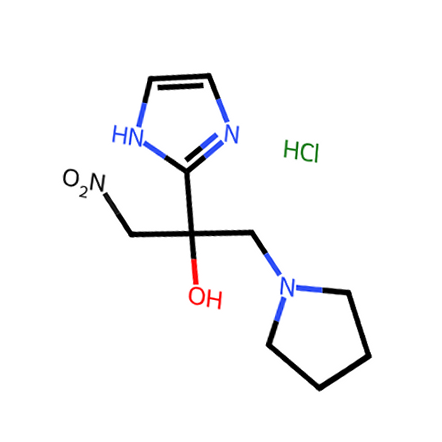 Cl.O=[N+]([O-])CC(O)(CN1CCCC1)c1ncc[nH]1